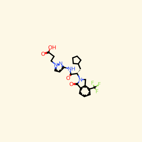 O=C(O)CCn1ccc(NC(=O)[C@H](CC2CCCC2)N2Cc3c(cccc3C(F)(F)F)C2=O)n1